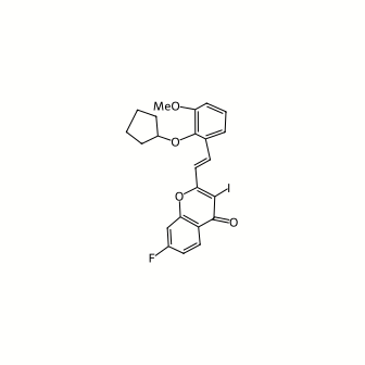 COc1cccc(/C=C/c2oc3cc(F)ccc3c(=O)c2I)c1OC1CCCC1